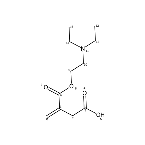 C=C(CC(=O)O)C(=O)OCCN(CC)CC